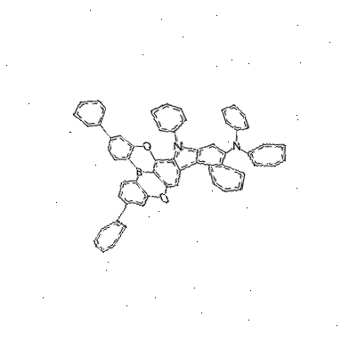 c1ccc(-c2ccc3c(c2)Oc2cc4c5c6ccccc6c(N(c6ccccc6)c6ccccc6)cc5n(-c5ccccc5)c4c4c2B3c2ccc(-c3ccccc3)cc2O4)cc1